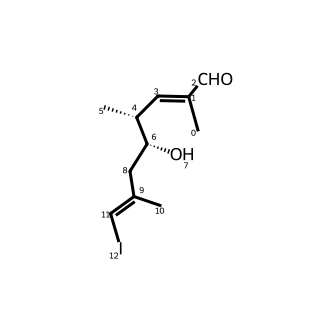 C/C(C=O)=C\[C@@H](C)[C@H](O)C/C(C)=C/I